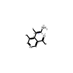 CC(=O)c1cncc(C)c1/C(C)=C/N